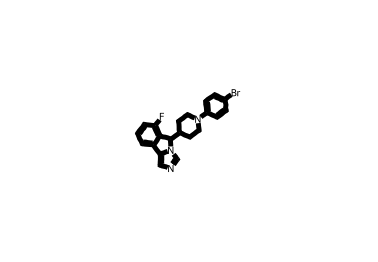 Fc1cccc2c1C(C1CCN(c3ccc(Br)cc3)CC1)n1cncc1-2